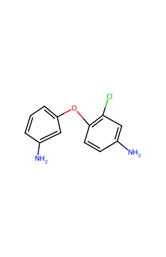 Nc1cccc(Oc2ccc(N)cc2Cl)c1